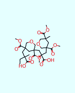 CCC(C)(CC1(C(=O)OC)COCC(CC(C)(CC2(C(=O)OC)COCC(C)(C(=O)OC)C2)C(=O)O)(C(=O)OC)C1)C(=O)O